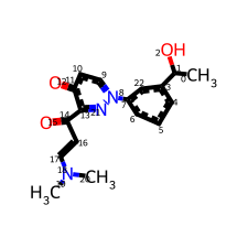 CC(O)c1cccc(-n2ccc(=O)c(C(=O)/C=C/N(C)C)n2)c1